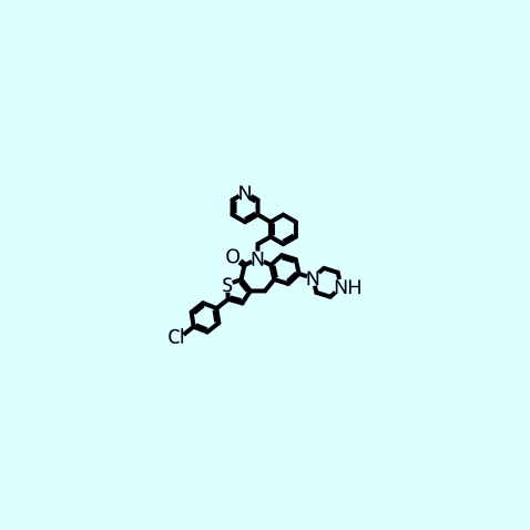 O=C1c2sc(-c3ccc(Cl)cc3)cc2Cc2cc(N3CCNCC3)ccc2N1CC1=C(c2cccnc2)CCC=C1